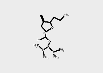 C=C1C[C@H](C(CC)OP(P(P)P)P(P)P)OC1CCC(C)(C)C